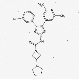 Cc1cc(-c2sc(NC(=O)N3CC(N4CCCC4)C3)nc2-c2cccc(C#N)c2)cc(C)n1